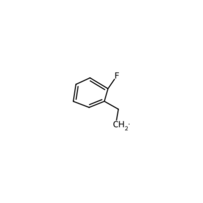 [CH2]Cc1ccccc1F